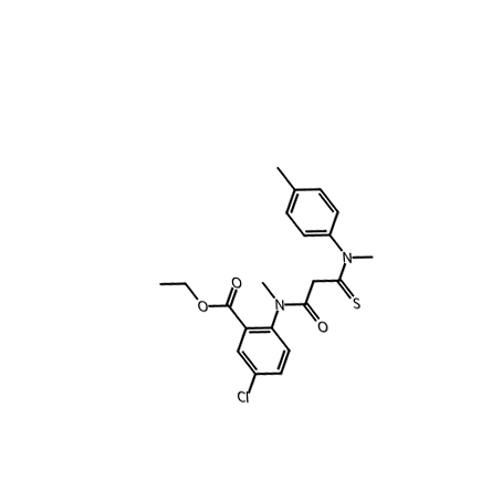 CCOC(=O)c1cc(Cl)ccc1N(C)C(=O)CC(=S)N(C)c1ccc(C)cc1